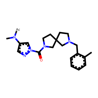 CC(=O)N(C)c1cnn(C(=O)N2CCC3(CCN(Cc4ccccc4C)C3)C2)c1